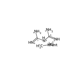 CCCCCC.Cl.N=C(N)NC(=N)N